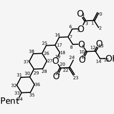 C=C(C)C(=O)OCC(COC(=O)C(=O)CO)CC(COC(=O)C(=C)C)CC1CCC(C2CCC(CCCCC)CC2)CC1